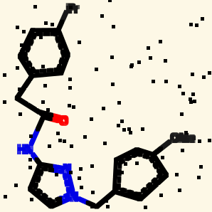 COc1ccc(Cn2ccc(NC(=O)Cc3ccc(C(C)C)cc3)n2)cc1